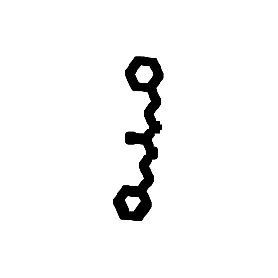 O=C([N]CCC1CCCCC1)OCCc1ccccc1